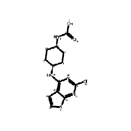 O=C(O)N[C@H]1CC[C@@H](Nc2nc(Cl)nc3sccc23)CC1